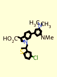 CNc1cc(-c2ccc3c(CC(=O)O)cn(CC4CSc5ccc(Cl)cc54)c3c2)cc(N(C)C)c1